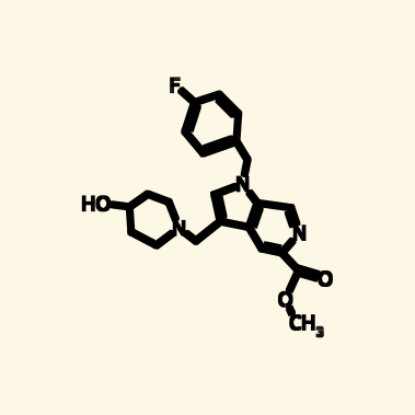 COC(=O)c1cc2c(CN3CCC(O)CC3)cn(Cc3ccc(F)cc3)c2cn1